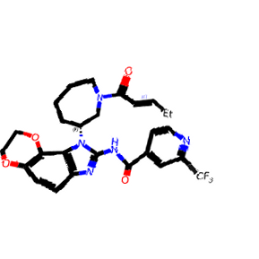 CC/C=C/C(=O)N1CCCC[C@@H](n2c(NC(=O)c3ccnc(C(F)(F)F)c3)nc3ccc4c(c32)OCCO4)C1